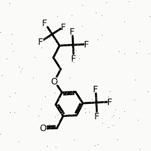 O=Cc1cc(OCCC(C(F)(F)F)C(F)(F)F)cc(C(F)(F)F)c1